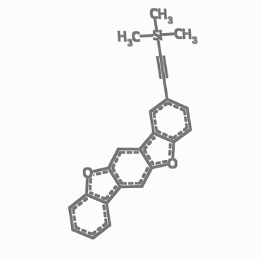 C[Si](C)(C)C#Cc1ccc2oc3cc4c(cc3c2c1)oc1ccccc14